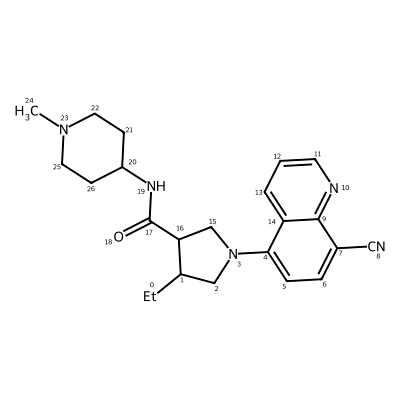 CCC1CN(c2ccc(C#N)c3ncccc23)CC1C(=O)NC1CCN(C)CC1